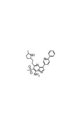 CC1CCC(CCc2nc3c(-c4ccc(-c5ccccc5)nc4)cnn3c(N)c2S(C)(=O)=O)N1